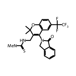 CNC(=S)NCC1=C(N2Cc3ccccc3C2=O)c2cc(C(F)(F)C(F)(F)F)ccc2OC1(C)C